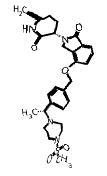 C=C1CC[C@H](N2Cc3c(OCc4ccc([C@@H](C)N5CCN(S(C)(=O)=O)CC5)cc4)cccc3C2=O)C(=O)N1